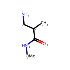 CONC(=O)C(C)CN